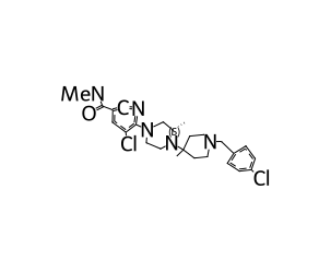 CNC(=O)c1cnc(N2CCN(C3(C)CCN(Cc4ccc(Cl)cc4)CC3)[C@@H](C)C2)c(Cl)c1